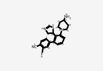 N#Cc1ccc(-c2cccc(N3CCC(N)CC3)c2C2CN=CS2)cc1F